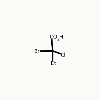 CCC(Cl)(Br)C(=O)O